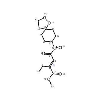 CC/C(=C\C(=O)ON1CCC2(CCOO2)CC1)C(=O)OC.Cl